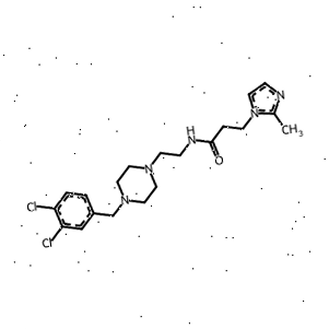 Cc1nccn1CCC(=O)NCCN1CCN(Cc2ccc(Cl)c(Cl)c2)CC1